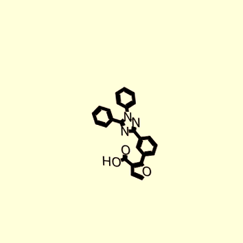 O=C(O)c1ccoc1-c1cccc(-c2nc(-c3ccccc3)n(-c3ccccc3)n2)c1